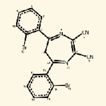 N#CC1=C(C#N)N=C(c2ccccc2Br)CC(c2ccccc2Br)=N1